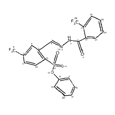 O=C(NN=Cc1cc(C(F)(F)F)ccc1S(=O)(=O)Oc1ccccc1)c1ccccc1C(F)(F)F